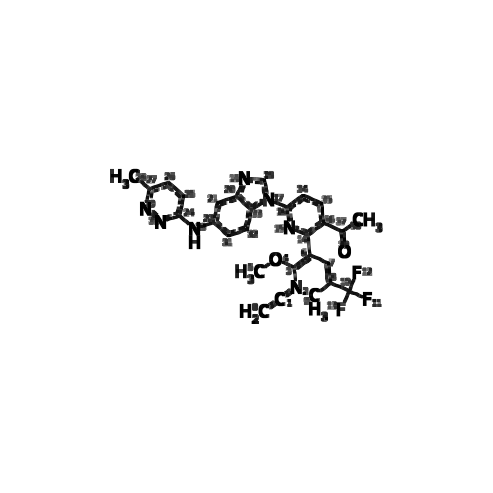 C=C=N/C(OC)=C(\C=C(/C)C(F)(F)F)c1nc(-n2cnc3cc(Nc4ccc(C)nn4)ccc32)ccc1C(C)=O